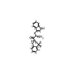 NC(Cc1c[nH]c2ccccc12)C(=O)NCc1ccccc1C(F)(F)F